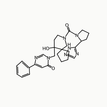 O=C(N1CCC(O)(Cn2cnc(-c3ccccc3)cc2=O)C2(CCCC2)C1)N1CCCC1c1ncn[nH]1